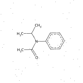 CC(=O)N(c1cc[c]cc1)C(C)C